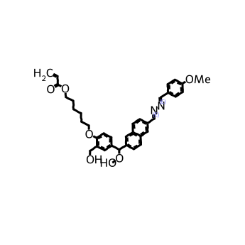 C=CC(=O)OCCCCCCOc1ccc(C(OO)c2ccc3cc(/C=N/N=C/c4ccc(OC)cc4)ccc3c2)cc1CO